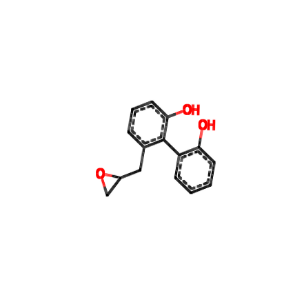 Oc1ccccc1-c1c(O)cccc1CC1CO1